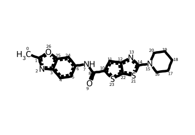 Cc1nc2ccc(NC(=O)c3cc4nc(N5CCCCC5)sc4s3)cc2o1